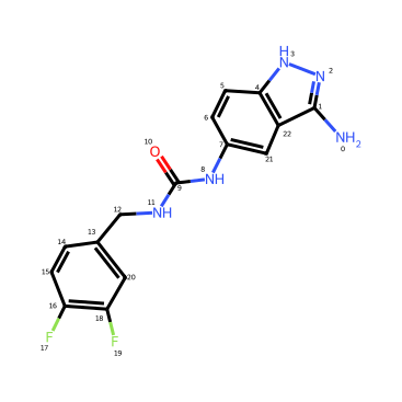 Nc1n[nH]c2ccc(NC(=O)NCc3ccc(F)c(F)c3)cc12